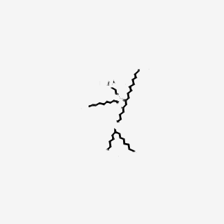 CCCCCCCCCCC(CCCCCC(=O)OCC(CCCCCC)CCCCCCCC)N(OCCCN(C)C)C(=O)CCCCCCCCC